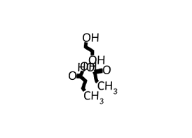 CCC(=O)O.CCCC(=O)O.OCCO